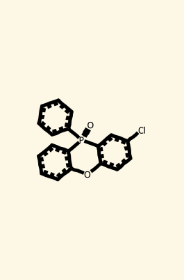 O=P1(c2ccccc2)c2ccccc2Oc2ccc(Cl)cc21